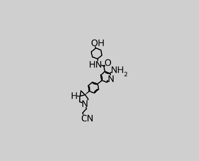 N#CCCN1C[C@@H]2C[C@]2(c2ccc(-c3cnc(N)c(C(=O)NC4CCC(O)CC4)c3)cc2)C1